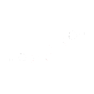 Cc1ccc(OC(=O)CCC(=O)OOC(=O)CCC(=O)Oc2ccc(C)cc2)cc1